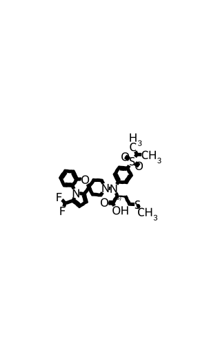 CSCC[C@@H](C(=O)O)N(c1ccc(S(=O)(=O)C(C)C)cc1)N1CCC2(CC1)Oc1ccccc1-n1c(C(F)F)ccc12